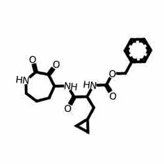 O=C(NC(CC1CC1)C(=O)NC1CCCNC(=O)C1=O)OCc1ccccc1